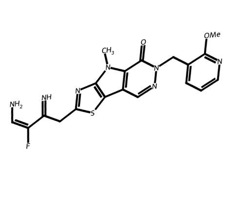 COc1ncccc1Cn1ncc2c3sc(CC(=N)/C(F)=C\N)nc3n(C)c2c1=O